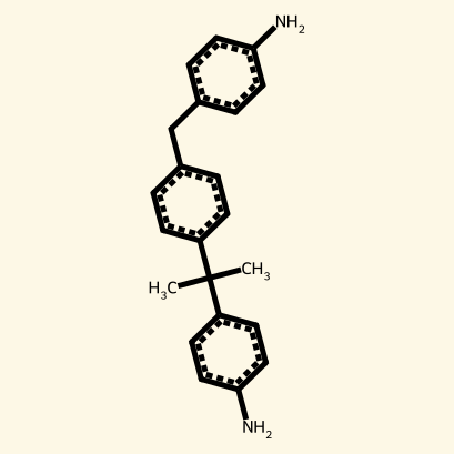 CC(C)(c1ccc(N)cc1)c1ccc(Cc2ccc(N)cc2)cc1